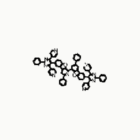 c1ccc(-c2cc(-c3nc(-c4ccccc4)cc4c3oc3ccc(-c5c(-c6ccncc6)nc(-c6ccccc6)nc5-c5ccncc5)cc34)c3oc4ccc(-c5c(-c6ccncc6)nc(-c6ccccc6)nc5-c5ccncc5)cc4c3c2)cc1